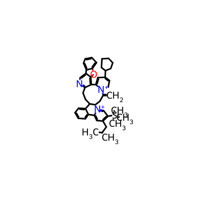 C=C1CC2C(CCc3ncc4c(oc5ccccc54)c3-c3cc(C4CCCCC4)cc[n+]31)c1ccccc1-c1cc(CC(C)C)c([Si](C)(C)C)c[n+]12